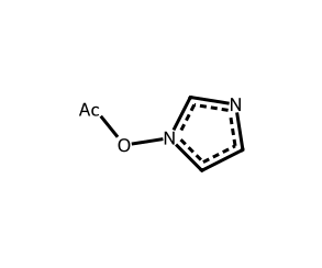 CC(=O)On1ccnc1